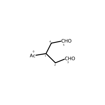 CC(=O)C(CC=O)CC=O